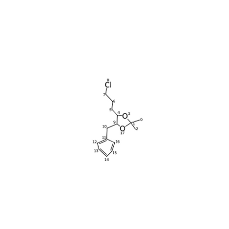 CC1(C)OC(CCCCl)C(Cc2ccccc2)O1